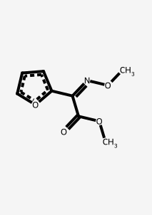 CON=C(C(=O)OC)c1ccco1